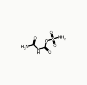 NC(=O)NC(=O)OS(N)(=O)=O